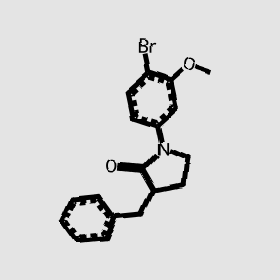 COc1cc(N2CCC(Cc3ccccc3)C2=O)ccc1Br